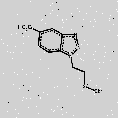 CCSCCn1nnc2cc(C(=O)O)ccc21